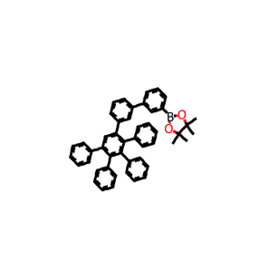 CC1(C)OB(c2cccc(-c3cccc(-c4cc(-c5ccccc5)c(-c5ccccc5)c(-c5ccccc5)c4-c4ccccc4)c3)c2)OC1(C)C